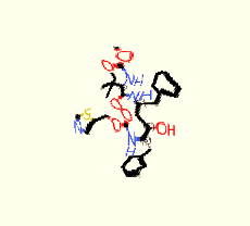 COC(=O)N[C@H](C(=O)N[C@@H](Cc1ccccc1)C[C@H](O)[C@H](Cc1ccccc1)NC(=O)OCc1cncs1)C(C)(C)C